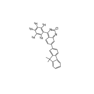 [2H]c1c([2H])c([2H])c(-c2nc(Cl)nc3cc(-c4ccc5c(c4)C(C)(C)c4ccccc4-5)ccc23)c([2H])c1[2H]